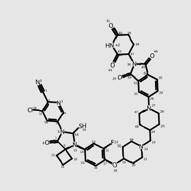 N#Cc1ncc(N2C(=O)C3(CCC3)N(c3ccc(OC4CCN(CC5CCN(c6ccc7c(c6)C(=O)N(C6CCC(=O)NC6=O)C7=O)CC5)CC4)c(F)c3)C2S)cc1Cl